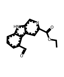 CCOC(=O)c1cc2c(cn1)[nH]c1cccc(C=O)c12